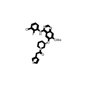 COc1cc2ncnc(Nc3cccc(Cl)c3F)c2cc1O[C@@H]1CCCN(C(=O)Cc2ccsc2)C1